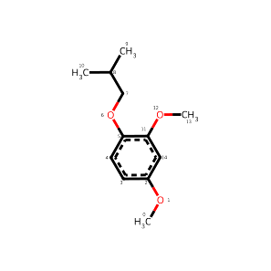 COc1ccc(OC[C](C)C)c(OC)c1